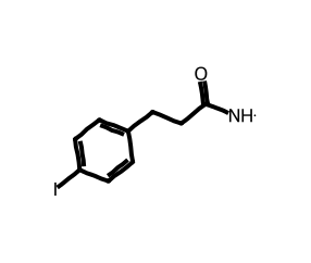 [NH]C(=O)CCc1ccc(I)cc1